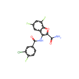 NC(=O)c1oc2c(F)cc(F)cc2c1NC(=O)c1ccc(F)c(Cl)c1